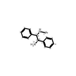 CC(C)N[C@H](c1ccccc1)[C@H](N)c1ccccc1